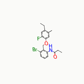 CCC(=O)Nc1cccc(Br)c1COc1cc(C)c(CC)cc1F